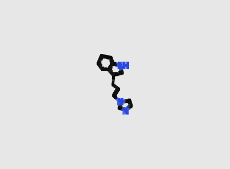 C(=Cn1ccnc1)Cc1c[nH]c2ccccc12